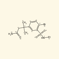 CCNS(=O)(=O)c1cc(C(C)(C)CC(N)=O)ccc1Br